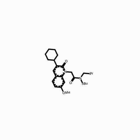 CCCCN(CC(C)C)C(=O)Cn1c(=O)c(C2CCCCC2)cc2ccc(OC)cc21